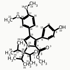 COC(=O)c1c(-c2ccc(O)cc2)c(-c2ccc(OC)c(OC)c2)cn1[Si](C(C)C)(C(C)C)C(C)C